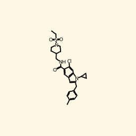 CCS(=O)(=O)N1CCC(CNC(=O)c2cc3cc(Cc4ccc(C)cc4)n(C4CC4)c3cc2Cl)CC1